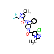 Cc1cc(C(=O)N[C@@H]2CCN(C(=O)c3cc(Cl)c4ncc(C)n4c3)C[C@@H]2c2ccccc2)n(CC(F)F)n1